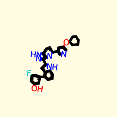 Oc1cc(F)cc(-c2cccc3[nH]c(-c4n[nH]c5ccc(-c6cncc(OC7CCCCC7)c6)nc45)cc23)c1